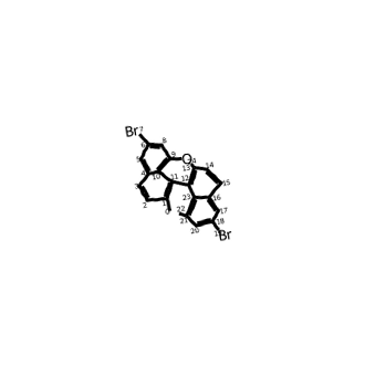 Cc1ccc2cc(Br)cc3c2c1-c1c(ccc2cc(Br)cc(C)c12)O3